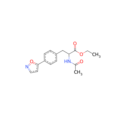 CCOC(=O)C(Cc1ccc(-c2ccno2)cc1)NC(C)=O